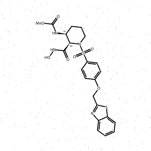 COC(=O)N[C@H]1CCCN(S(=O)(=O)c2ccc(OCc3nc4ccccc4s3)cc2)[C@H]1C(=O)NO